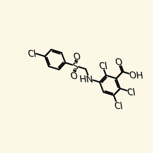 O=C(O)c1c(Cl)c(Cl)cc(NCS(=O)(=O)c2ccc(Cl)cc2)c1Cl